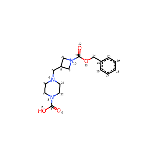 O=C(O)N1CCN(CC2CN(C(=O)OCc3ccccc3)C2)CC1